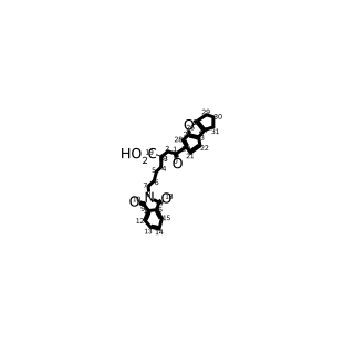 O=C(C[C@H](CCCCN1C(=O)c2ccccc2C1=O)C(=O)O)c1ccc2c3c(oc2c1)CCC3